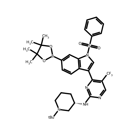 CC(C)(C)N1CCC[C@H](Nc2ncc(C(F)(F)F)c(-c3cn(S(=O)(=O)c4ccccc4)c4cc(B5OC(C)(C)C(C)(C)O5)ccc34)n2)C1